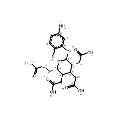 CC(=O)OC[C@@H]1O[C@@H](Oc2cc(N)ccc2Cl)[C@H](CC(=O)O)[C@@H](CC(=O)O)[C@H]1CC(=O)O